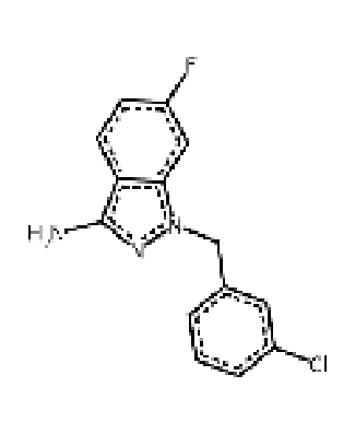 Nc1nn(Cc2cccc(Cl)c2)c2cc(F)ccc12